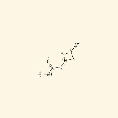 CCNC(=O)CN1CC(O)C1